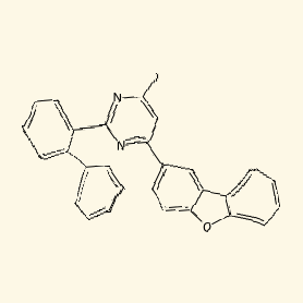 Ic1cc(-c2ccc3oc4ccccc4c3c2)nc(-c2ccccc2-c2ccccc2)n1